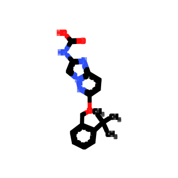 CC(C)(C)c1ccccc1COc1ccc2nc(NC(=O)O)cn2n1